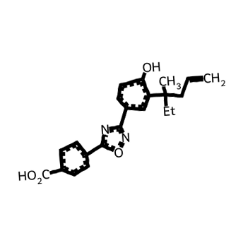 C=CCC(C)(CC)c1cc(-c2noc(-c3ccc(C(=O)O)cc3)n2)ccc1O